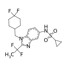 CC(F)(F)c1nc2cc(NS(=O)(=O)C3CC3)ccc2n1CC1CCC(F)(F)CC1